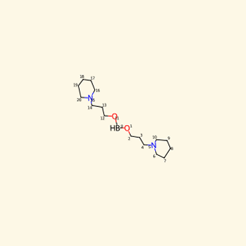 B(OCCCN1CCCCC1)OCCCN1CCCCC1